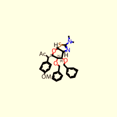 COc1ccc(C(C(C)=O)[C@@H]2O[C@@H]3SC(N(C)C)=N[C@@H]3[C@@H](OCc3ccccc3)[C@H]2OCc2ccccc2)cc1